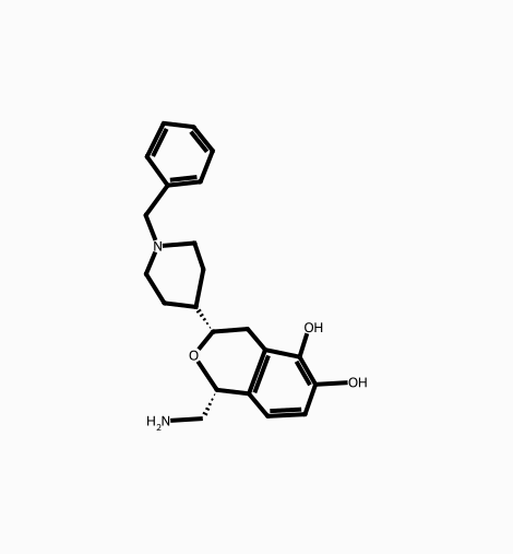 NC[C@@H]1O[C@H](C2CCN(Cc3ccccc3)CC2)Cc2c1ccc(O)c2O